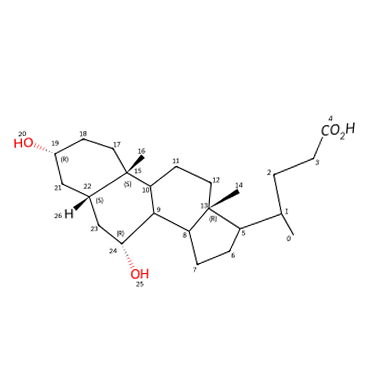 CC(CCC(=O)O)C1CCC2C3C(CC[C@]12C)[C@@]1(C)CC[C@@H](O)C[C@H]1C[C@H]3O